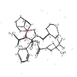 CC(C)N1C(=O)N(CC2CCOCC2)CC12CC1CCC(C2)N1CC[C@H](NC(=O)C1CC(O)(C(F)(F)F)C1)c1ccccc1